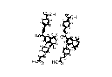 CC1(C)CCC(C)(C)c2c(N3CCN(CCC(=O)O)CC3)cc(C(=O)/C=C/c3ccc(C(=O)O)cc3)cc21.CC1(C)CCC(C)(C)c2c(N3CCN(CCC(=O)O)CC3)cc(C(O)C#Cc3ccc(C(=O)O)cc3)cc21